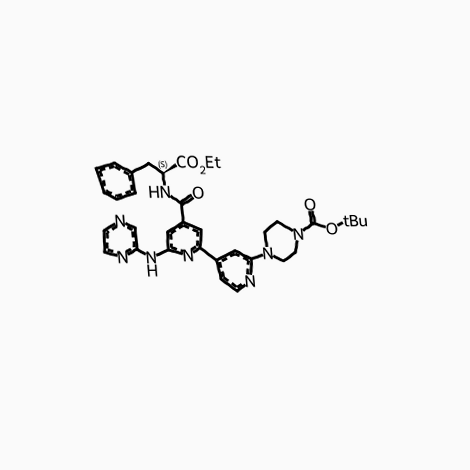 CCOC(=O)[C@H](Cc1ccccc1)NC(=O)c1cc(Nc2cnccn2)nc(-c2ccnc(N3CCN(C(=O)OC(C)(C)C)CC3)c2)c1